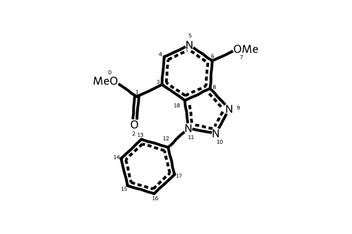 COC(=O)c1cnc(OC)c2nnn(-c3ccccc3)c12